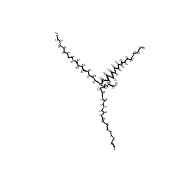 CCCCCCCCCCCCCCCCCC[Si](CCCCCCCCCCCCCCCCCC)(CCCCCCCCCCCCCCCCCC)OCCC